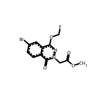 COC(=O)Cn1nc(OCF)c2cc(Br)ccc2c1=O